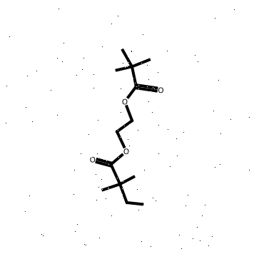 CCC(C)(C)C(=O)OCCOC(=O)C(C)(C)C